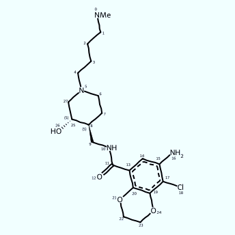 CNCCCCN1CC[C@@H](CNC(=O)c2cc(N)c(Cl)c3c2OCCO3)[C@H](O)C1